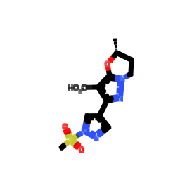 C[C@@H]1CCn2nc(-c3cnn(S(C)(=O)=O)c3)c(C(=O)O)c2O1